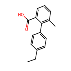 CCc1ccc(-c2c(C)cccc2C(=O)O)cc1